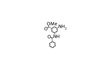 COC(=O)c1cc(N)cc(NC(=O)c2ccccc2)c1